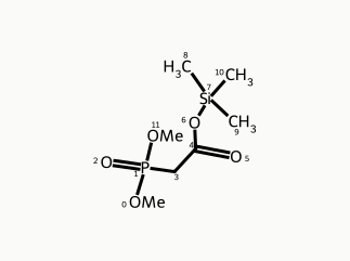 COP(=O)(CC(=O)O[Si](C)(C)C)OC